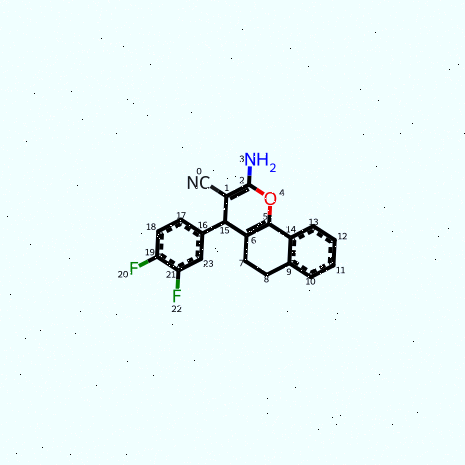 N#CC1=C(N)OC2=C(CCc3ccccc32)C1c1ccc(F)c(F)c1